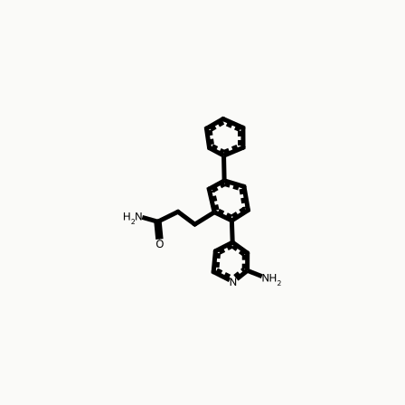 NC(=O)CCc1cc(-c2ccccc2)ccc1-c1ccnc(N)c1